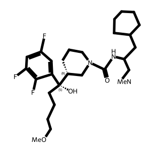 CNCC(CC1CCCCC1)NC(=O)N1CCC[C@@H]([C@@](O)(CCCCOC)c2cc(F)cc(F)c2F)C1